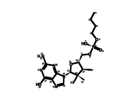 CCCCO[P@](=O)(O)OC[C@H]1O[C@@H](n2cnc3c(O)nc(N)nc32)[C@](C)(F)[C@@H]1C